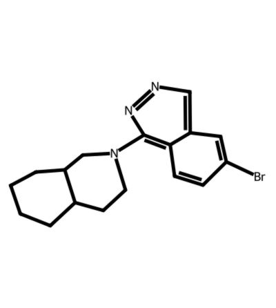 Brc1ccc2c(N3CCC4CCCCC4C3)nncc2c1